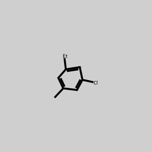 CCc1[c]c(Cl)cc(C)c1